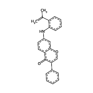 C=C(C)c1ccccc1Nc1ccc2c(=O)c(-c3ccccc3)coc2c1